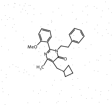 COc1ccccc1-c1nc(C)c(CC2CCC2)c(=O)n1CCc1ccccc1